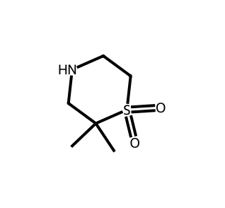 CC1(C)CNCCS1(=O)=O